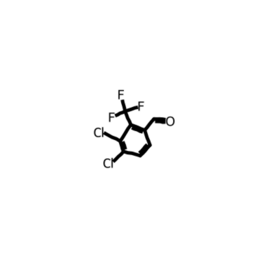 O=Cc1ccc(Cl)c(Cl)c1C(F)(F)F